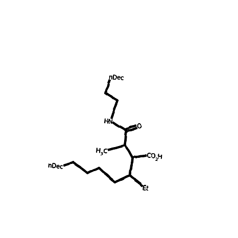 CCCCCCCCCCCCCCC(CC)C(C(=O)O)C(C)C(=O)NCCCCCCCCCCCC